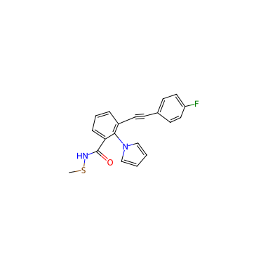 CSNC(=O)c1cccc(C#Cc2ccc(F)cc2)c1-n1cccc1